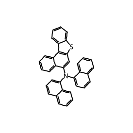 c1ccc2c(N(c3cccc4ccccc34)c3cc4sc5ccccc5c4c4ccccc34)cccc2c1